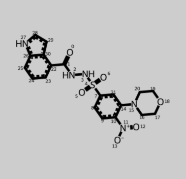 O=C(NNS(=O)(=O)c1ccc([N+](=O)[O-])c(N2CCOCC2)c1)c1cccc2[nH]ccc12